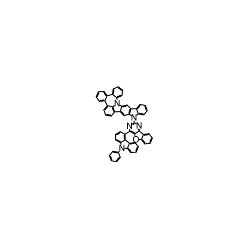 c1ccc(-n2c3ccccc3c3c(-c4nc(-n5c6ccccc6c6cc7c(cc65)c5cccc6c5n7-c5ccccc5-c5ccccc5-6)nc5c4oc4ccccc45)cccc32)cc1